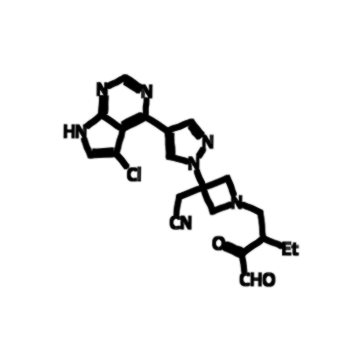 CCC(CN1CC(CC#N)(n2cc(-c3ncnc4[nH]cc(Cl)c34)cn2)C1)C(=O)C=O